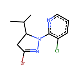 CC(C)C1CC(Br)=NN1c1ncccc1Cl